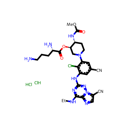 CCNc1nc(Nc2cc(C#N)cc(N3CC[C@@H](NC(=O)OC)[C@H](OC(=O)[C@@H](N)CCCN)C3)c2Cl)nn2c(C#N)cnc12.Cl.Cl